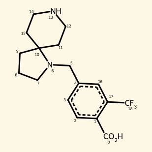 O=C(O)c1ccc(CN2CCCC23CCNCC3)cc1C(F)(F)F